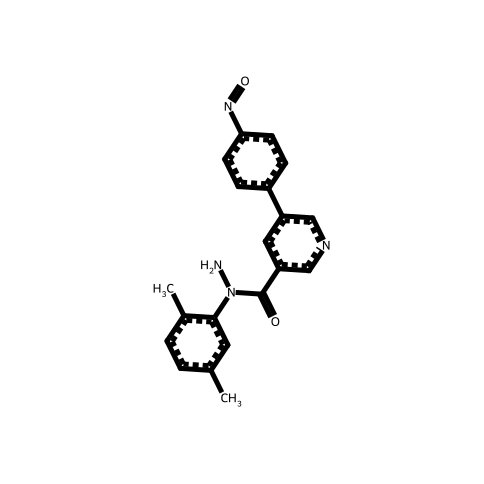 Cc1ccc(C)c(N(N)C(=O)c2cncc(-c3ccc(N=O)cc3)c2)c1